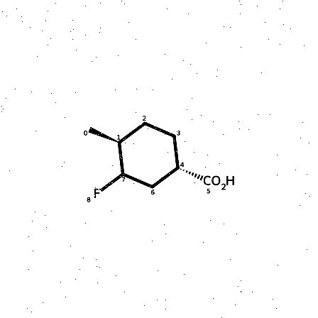 C[C@H]1CC[C@H](C(=O)O)CC1F